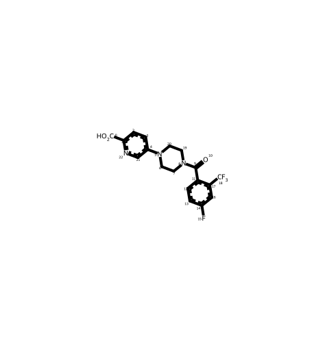 O=C(O)c1ccc(N2CCN(C(=O)c3ccc(F)cc3C(F)(F)F)CC2)cn1